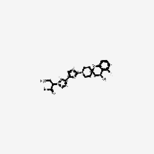 CCC(C(=O)O)n1nnc(-c2cnc(N3CCC4(CC3)CC(O)c3c(Cl)cccc3O4)s2)n1